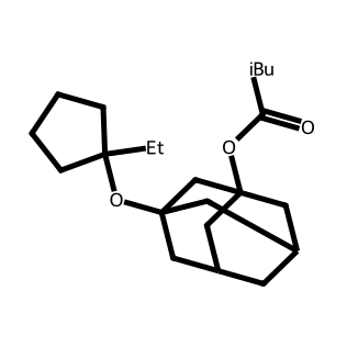 CCC(C)C(=O)OC12CC3CC(C1)CC(OC1(CC)CCCC1)(C3)C2